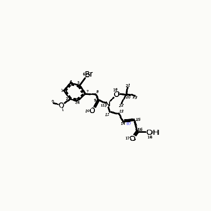 COc1ccc(Br)c(CC(=O)N(CC/C=C/C(=O)O)OC(C)(C)C)c1